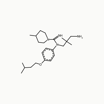 CC(C)CCOc1ccc(N(CC(C)(C)CN)C(=N)N2CCC(C)CC2)cc1